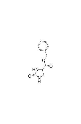 O=C1NCC(C(=O)OCc2ccccc2)N1